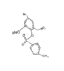 COc1cc(Br)cc([N+](=O)[O-])c1OS(=O)(=O)c1ccc(C)cc1